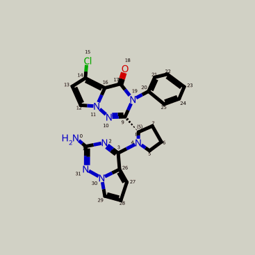 Nc1nc(N2CCC[C@H]2c2nn3ccc(Cl)c3c(=O)n2-c2ccccc2)c2cccn2n1